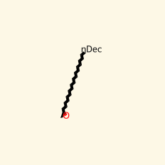 CCCCCCCCCCCCCCCCCCCCCCCCCCCCCCC1CO1